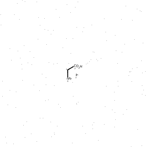 CCCCC(=O)O.[Ir]